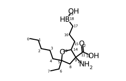 CCCCCC1(CC)CC(N)(C(=O)O)C(CCCBO)O1